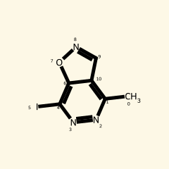 Cc1nnc(I)c2oncc12